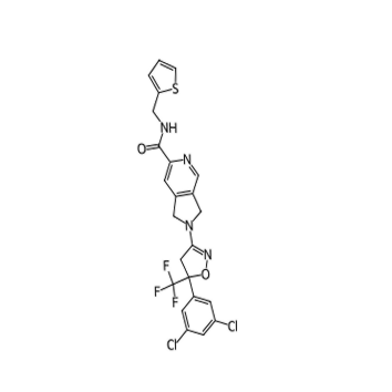 O=C(NCc1cccs1)c1cc2c(cn1)CN(C1=NOC(c3cc(Cl)cc(Cl)c3)(C(F)(F)F)C1)C2